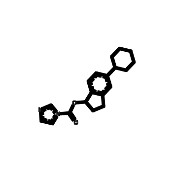 O=C(OC1CCc2cc(C3CCCCC3)ccc21)n1ccnc1